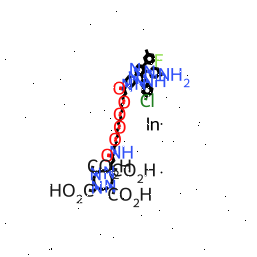 Cc1cc(F)cc(-c2cnc(N3CCN(C(=O)CCOCCOCCOCCOCCNC(=O)CCC(C(=O)O)N4CCN(CC(=O)O)CCN(CC(=O)O)CCN(CC(=O)O)CC4)CC3)c(-c3nc4cc(Cl)ccc4[nH]3)c2N2CCC(N)CC2)c1.[In]